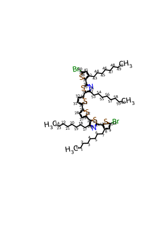 CCCCCCCCc1cc(Br)sc1-c1nc(CCCCCCCC)c(-c2ccc(-c3ccc(-c4sc(-c5sc(Br)cc5CCCCCCCC)nc4CCCCCCCC)s3)s2)s1